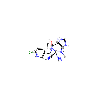 CC[N+]1(Cc2ccc(Cl)nc2)C(=O)c2[nH]cnc2N(C)C1(N)C#N